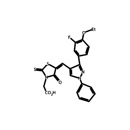 CCOc1ccc(-c2nn(-c3ccccc3)cc2/C=C2/SC(=S)N(CC(=O)O)C2=O)cc1F